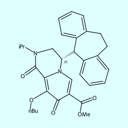 CCCCOc1c2n(cc(C(=O)OC)c1=O)[C@@H](C1c3ccccc3CCc3ccccc31)CN(C(C)C)C2=O